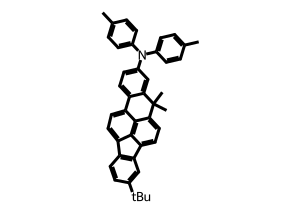 Cc1ccc(N(c2ccc(C)cc2)c2ccc3c(c2)C(C)(C)c2ccc4c5c(ccc-3c25)-c2ccc(C(C)(C)C)cc2-4)cc1